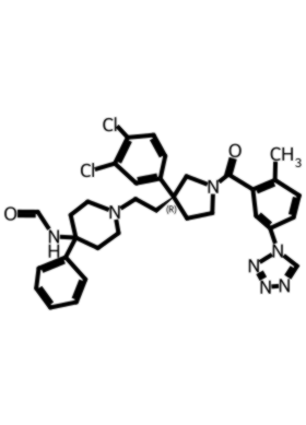 Cc1ccc(-n2cnnn2)cc1C(=O)N1CC[C@](CCN2CCC(NC=O)(c3ccccc3)CC2)(c2ccc(Cl)c(Cl)c2)C1